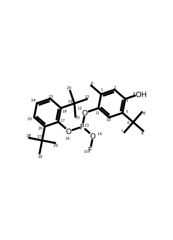 Cc1cc(O)c(C(C)(C)C)cc1OP(OF)Oc1c(C(C)(C)C)cccc1C(C)(C)C